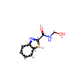 O=C(NCO)c1nc2ccccc2s1